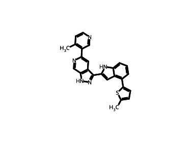 Cc1ccc(-c2cccc3[nH]c(-c4n[nH]c5cnc(-c6cnccc6C)cc45)cc23)s1